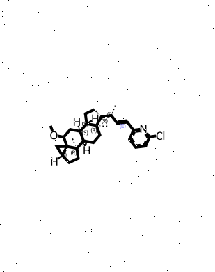 COC1C[C@H]2[C@@H]3CC[C@H]([C@H](C)/C=C/c4cccc(Cl)n4)[C@@]3(C)CC[C@@H]2[C@@]2(C)CC[C@@H]3CC132